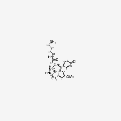 COc1ccc2c(c1)C(c1ccc(Cl)cc1)=N[C@@H](CC(=O)NCCCCN)C1NNC(C)N21